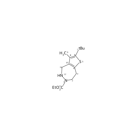 CCOC(=O)N1CCc2sc(C(C)(C)C)c(C)c2CN1